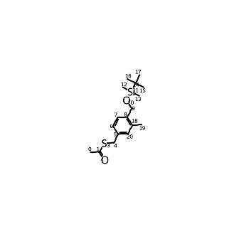 CC(=O)SCc1ccc(CO[Si](C)(C)C(C)(C)C)c(C)c1